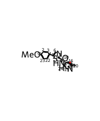 COc1ccc(-c2cnc(C(=O)N[C@H]3CN4CCC3CC4C)s2)cc1